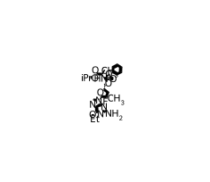 CCOc1nc(N)nc2c1ncn2[C@@H]1O[C@H](COP(=O)(N[C@H](C)C(=O)OC(C)C)Oc2ccccc2)C[C@@]1(C)F